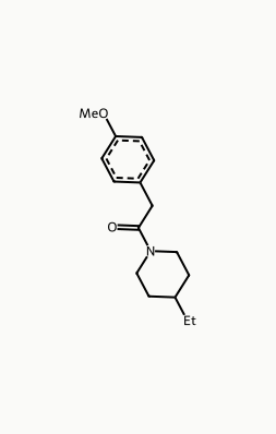 CCC1CCN(C(=O)Cc2ccc(OC)cc2)CC1